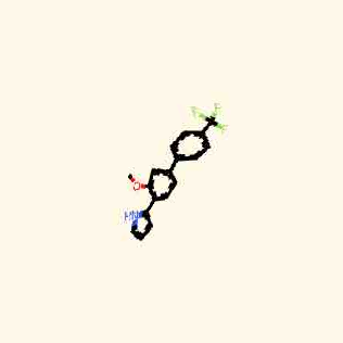 COc1cc(-c2ccc(C(F)(F)F)cc2)ccc1-c1ccc[nH]1